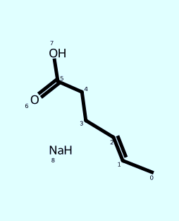 CC=CCCC(=O)O.[NaH]